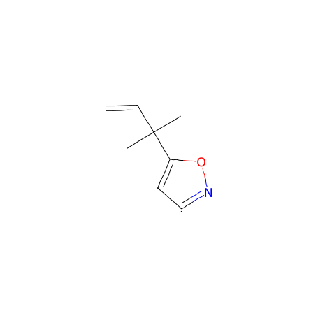 C=CC(C)(C)c1c[c]no1